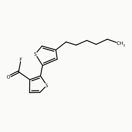 CCCCCCc1csc(-c2sccc2C(=O)F)c1